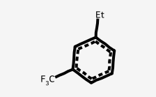 [CH]Cc1cccc(C(F)(F)F)c1